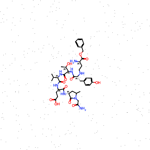 CC(C)[C@@H](NC(=O)[C@H](NC(=O)[C@@H](Cc1ccc(O)cc1)NCC[C@@H](N)C(=O)OCc1ccccc1)[C@@H](C)O)C(=O)N[C@H](CCC(=O)O)C(=O)N[C@@H]1CC(C)N(CC(N)=O)C1=O